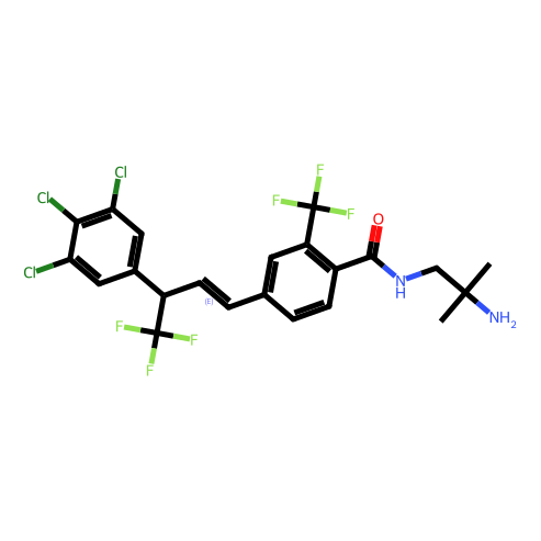 CC(C)(N)CNC(=O)c1ccc(/C=C/C(c2cc(Cl)c(Cl)c(Cl)c2)C(F)(F)F)cc1C(F)(F)F